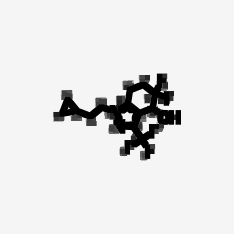 O[C@H]1c2c(C(F)(F)F)nn(CCC3CC3)c2CCC1(F)F